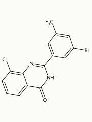 O=c1[nH]c(-c2cc(Br)cc(C(F)(F)F)c2)nc2c(Cl)cccc12